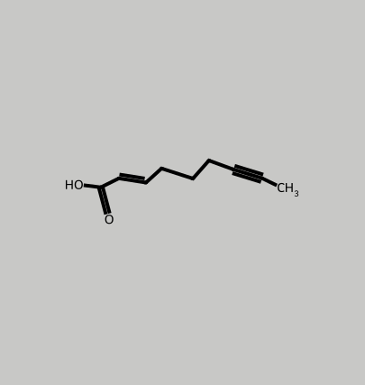 CC#CCCC/C=C/C(=O)O